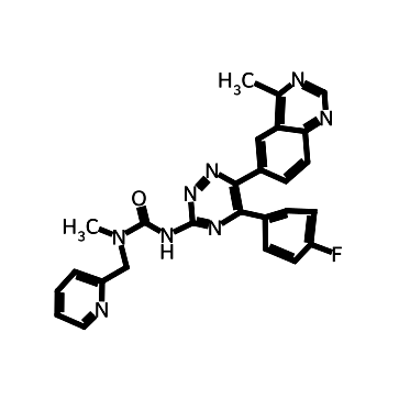 Cc1ncnc2ccc(-c3nnc(NC(=O)N(C)Cc4ccccn4)nc3-c3ccc(F)cc3)cc12